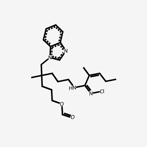 CC/C=C(C)\C(=N/Cl)NCCCC(C)(CCCOC=O)Cn1cnc2ccccc21